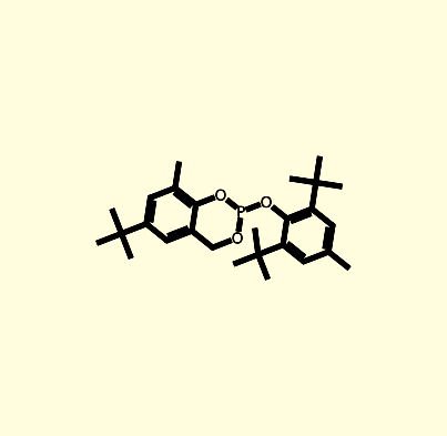 Cc1cc(C(C)(C)C)c(OP2OCc3cc(C(C)(C)C)cc(C)c3O2)c(C(C)(C)C)c1